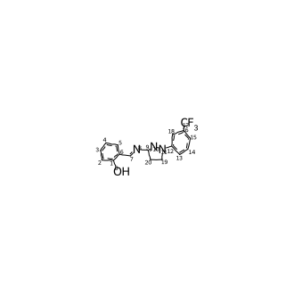 Oc1ccccc1C=NC1=NN(c2cccc(C(F)(F)F)c2)CC1